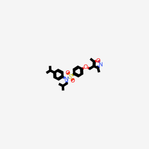 Cc1noc(C)c1COc1ccc(S(=O)(=O)N(CC(C)C)c2ccc(C(C)C)cc2)cc1